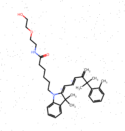 C=C(/C=C/C=C1/N(CCCCCC(=O)NCCOCCO)c2ccccc2C1(C)C)C(C)(C)c1ccccc1C